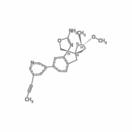 CC#Cc1cncc(-c2ccc3c(c2)[C@@]2(COC(N)=N2)[C@@]2(CC[C@@H](OC)[C@H](C)C2)C3)c1